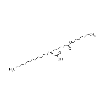 CCCCCCCCCCCCCCN(CCCCCC(=O)OCCCCCCC)CC(=O)O